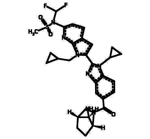 CS(=O)(=O)N(c1ccc2cc(-c3nc4cc(C(=O)N5C[C@H]6CC[C@@H]5[C@@H]6N)ccc4n3C3CC3)n(CC3CC3)c2n1)C(F)F